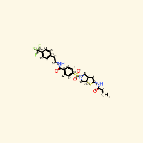 C=CC(=O)NC1CC2CN(S(=O)(=O)c3ccc(C(=O)NCCc4ccc(C(F)(F)F)cc4)cc3)CC2S1